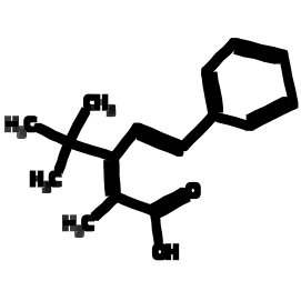 CC(C(=O)O)=C(C=Cc1ccccc1)C(C)(C)C